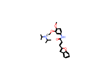 COc1ccc(NC(=O)C=Cc2cc3ccccc3o2)cc1OCCN(C(C)C)C(C)C